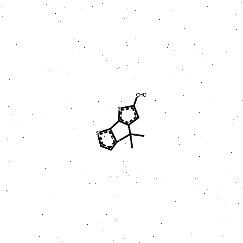 CC1(C)c2ccsc2-c2sc(C=O)cc21